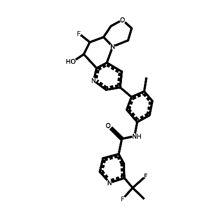 Cc1ccc(NC(=O)c2ccnc(C(C)(F)F)c2)cc1-c1cnc2c(c1)N1CCOCC1C(F)C2O